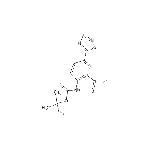 CC(C)(C)OC(=O)Nc1ccc(-c2ncno2)cc1[N+](=O)[O-]